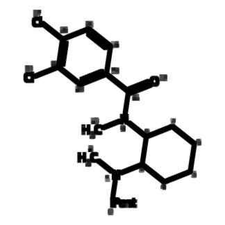 CCCC(C)N(C)C1CCCCC1N(C)C(=O)c1ccc(Cl)c(Cl)c1